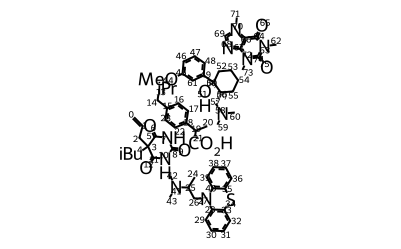 C=CCC1(C(C)CC)C(=O)NC(=O)NC1=O.CC(C)Cc1ccc(C(C)C(=O)O)cc1.CC(CN1c2ccccc2Sc2ccccc21)N(C)C.COc1cccc([C@@]2(O)CCCC[C@@H]2CN(C)C)c1.Cn1c(=O)c2c(ncn2C)n(C)c1=O